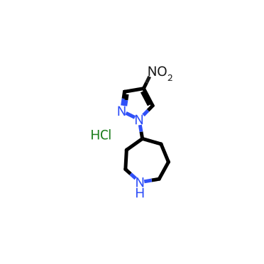 Cl.O=[N+]([O-])c1cnn(C2CCCNCC2)c1